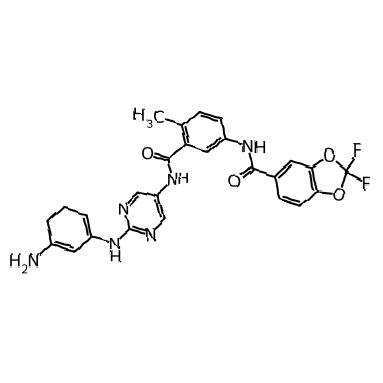 Cc1ccc(NC(=O)c2ccc3c(c2)OC(F)(F)O3)cc1C(=O)Nc1cnc(NC2=CCCC(N)=C2)nc1